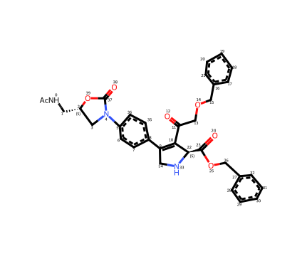 CC(=O)NC[C@H]1CN(c2ccc(C3=C(C(=O)COCc4ccccc4)[C@@H](C(=O)OCc4ccccc4)NC3)cc2)C(=O)O1